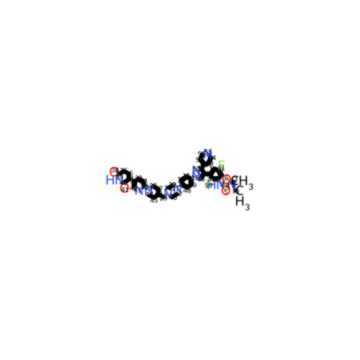 CCN(C)S(=O)(=O)Nc1cc(F)cc(-c2cn(-c3ccc(N4CCN(CC5CCN(c6ccc([C@H]7CCC(=O)NC7=O)cn6)CC5)CC4)cc3)nc2-c2ccncc2)c1F